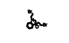 [O-][N+]1(CCBr)CN(CCBr)c2ccccc21